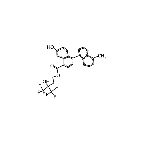 Cc1cccc2c(-c3ccc(C(=O)OCCC(O)(C(F)(F)F)C(F)(F)F)c4cc(O)ccc34)cccc12